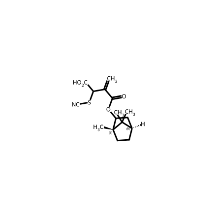 C=C(C(=O)OC1C[C@H]2CC[C@@]1(C)C2(C)C)C(SC#N)C(=O)O